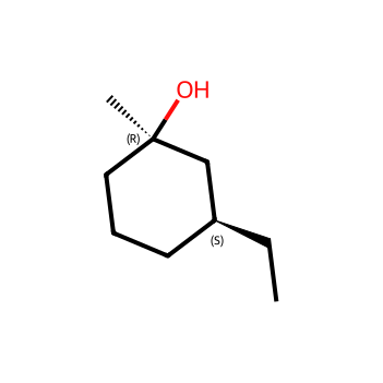 CC[C@H]1CCC[C@@](C)(O)C1